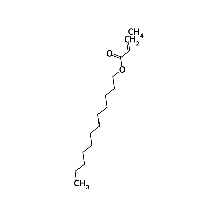 C.C=CC(=O)OCCCCCCCCCCCC